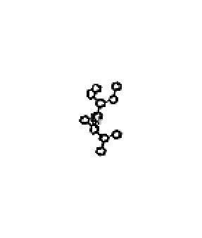 C1=CN2B(C=C1c1cc(-c3cccc(-c4ccccc4)c3)cc(-c3cccc4ccccc34)c1)c1ccccc1-c1ccc(-c3cc(-c4ccccc4)cc(-c4ccccc4)c3)cc12